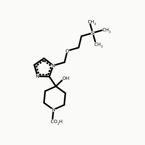 C[Si](C)(C)CCOCn1ccnc1C1(O)CCN(C(=O)O)CC1